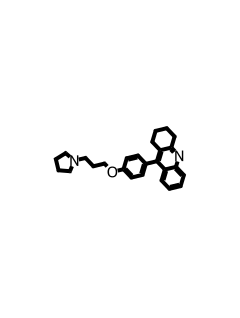 c1ccc2c(-c3ccc(OCCCN4CCCC4)cc3)c3c(nc2c1)CCCC3